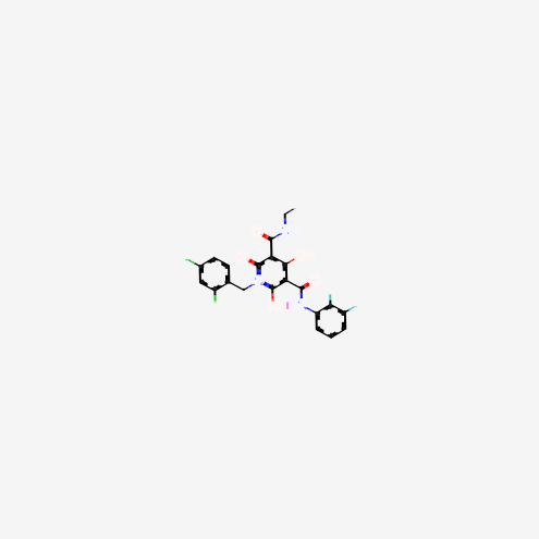 O=C(O)CNC(=O)c1c(O)c(C(=O)Nc2cccc(F)c2F)c(O)n(Cc2ccc(Cl)cc2Cl)c1=O